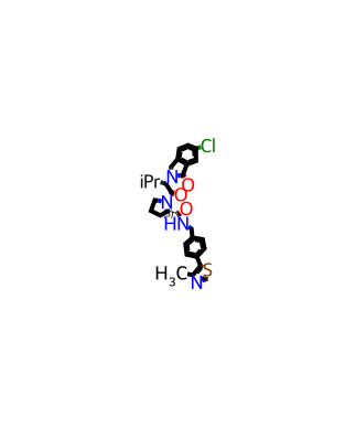 Cc1ncsc1-c1ccc(CNC(=O)[C@@H]2CCCN2C(=O)C(C(C)C)N2Cc3ccc(Cl)cc3C2=O)cc1